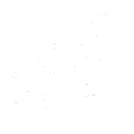 CC(=O)CCc1ccc(O)c(OC2OC(CO)C(O)C(O)C2O)c1